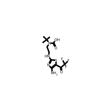 CC(C)(C)N(CCNc1nc(N)c(C(=O)C(F)(F)F)s1)C(=O)O